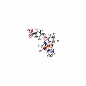 CC[C@H](C)CN(c1cc(C)c(C)cc1OCc1ccc(C(=O)OC)cc1)S(=O)(=O)c1ccccn1